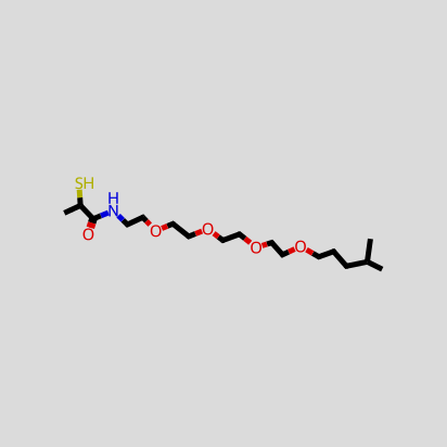 CC(C)CCCOCCOCCOCCOCCNC(=O)C(C)S